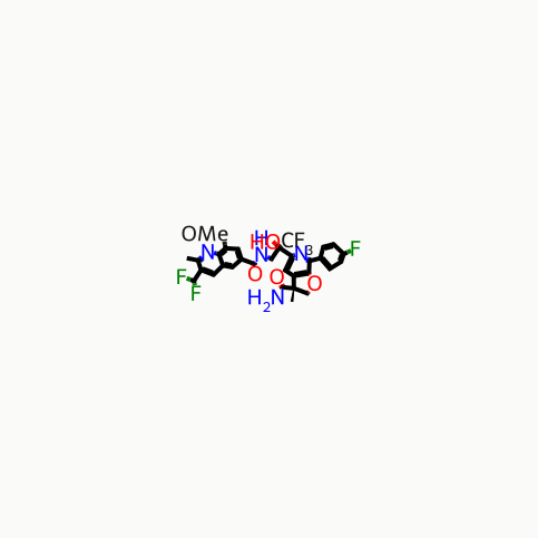 COc1cc(C(=O)NCC(O)(c2cc3c(c(-c4ccc(F)cc4)n2)OC[C@]3(C)C(N)=O)C(F)(F)F)cc2cc(C(F)F)c(C)nc12